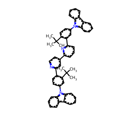 CC(C)(C)c1cc(-n2c3ccccc3c3ccccc32)ccc1-c1cc(-c2cccc(-c3cc(-n4c5ccccc5c5ccccc54)ccc3C(C)(C)C)n2)ccn1